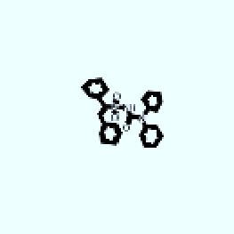 O=C(NS(=O)(=O)C(=Cc1ccccc1)c1ccccc1)N(c1ccccc1)c1ccccc1